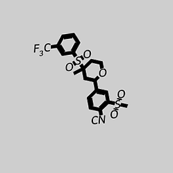 CC1(S(=O)(=O)c2cccc(C(F)(F)F)c2)CCOC(c2ccc(C#N)c(S(C)(=O)=O)c2)C1